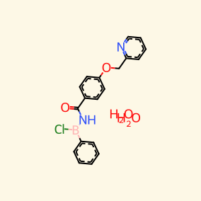 O.O.O=C(NB(Cl)c1ccccc1)c1ccc(OCc2ccccn2)cc1